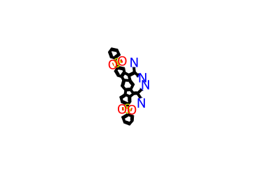 N#CC(C#N)=C1c2cc(S(=O)(=O)c3ccccc3)ccc2-c2cc3c(cc21)C(=C(C#N)C#N)c1cc(S(=O)(=O)c2ccccc2)ccc1-3